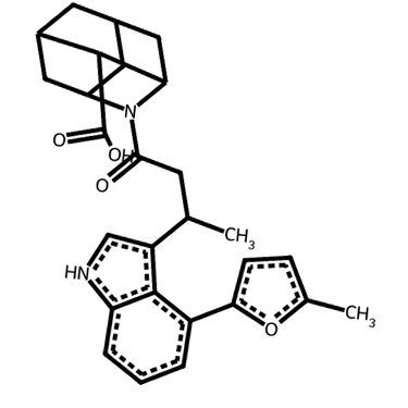 Cc1ccc(-c2cccc3[nH]cc(C(C)CC(=O)N4C5CC6CC(C5)C(C(=O)O)C4C6)c23)o1